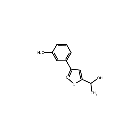 Cc1cccc(-c2cc(C(C)O)on2)c1